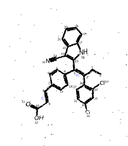 CC/C(=C(/c1ccc(/C=C/C(=O)O)cc1)c1[nH]c2ccccc2c1C#N)c1ccc(Cl)cc1Cl